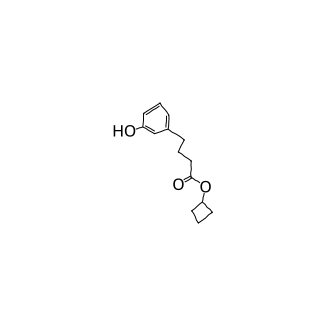 O=C(CCCc1cccc(O)c1)OC1CCC1